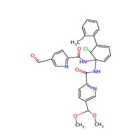 COC(OC)c1ccc(C(=O)NC2(NC(=O)c3ccc(C=O)cn3)C=CC=C(c3ccccc3C)C2Cl)nc1